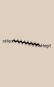 CCCCCCC=CCCCCC[CH]CCCCCC=CCCCCCCC